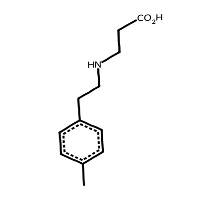 Cc1ccc(CCNCCC(=O)O)cc1